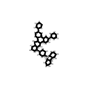 c1ccc(-c2ccc3c(c2)c2cc(-c4ccccc4)ccc2c2cc4c(-c5ccc(-n6c7ccccc7c7ccccc76)cc5)cccc4cc32)cc1